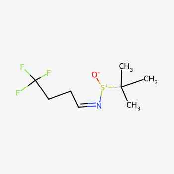 CC(C)(C)[S+]([O-])/N=C\CCC(F)(F)F